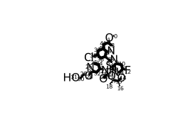 COc1cnc2c(-c3nc4cc(F)c(O[C@@H](C)[C@@H](C)OC(=O)Nc5ccnc(OCCO)c5)nc4s3)cc(Cl)cc2c1